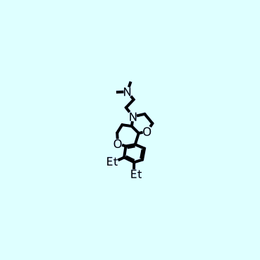 CCc1ccc2c(c1CC)OCCC1C2OCCN1CCN(C)C